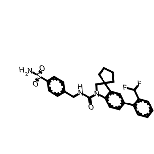 NS(=O)(=O)c1ccc(CNC(=O)N2CC3(CCCC3)c3cc(-c4ccccc4C(F)F)ccc32)cc1